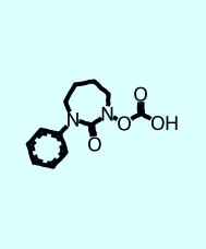 O=C(O)ON1CCCCN(c2ccccc2)C1=O